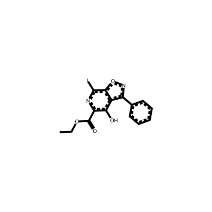 CCOC(=O)c1nc(I)c2onc(-c3ccccc3)c2c1O